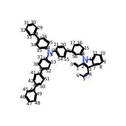 C=Cc1c(/C=C\C)c2ccccc2n1-c1cccc(-c2ccc(N(c3ccc(-c4ccccc4)cc3)c3ccc(-c4ccc(-c5ccccc5)cc4)cc3)cc2)c1